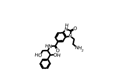 NCCn1c(=O)[nH]c2ccc(C(=O)NC(CO)C(O)c3ccccc3)cc21